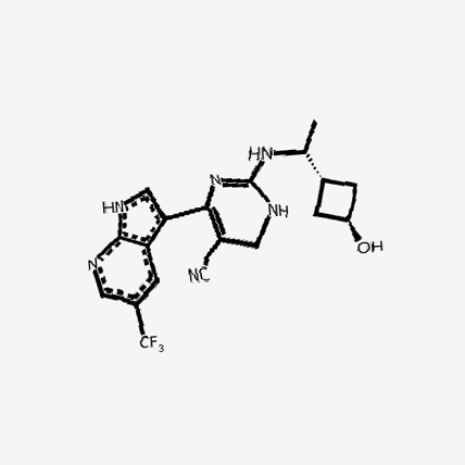 CC(NC1=NC(c2c[nH]c3ncc(C(F)(F)F)cc23)=C(C#N)CN1)[C@H]1C[C@H](O)C1